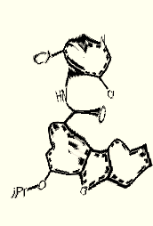 CC(C)Oc1ccc(C(=O)Nc2c(Cl)cncc2Cl)c2c1oc1ccccc12